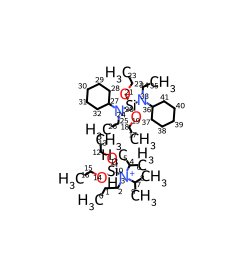 CCC[N+](C(C)C)(C(C)C)[SiH](OCC)OCC.CCO[Si](OCC)(N(CC)C1CCCCC1)N(CC)C1CCCCC1